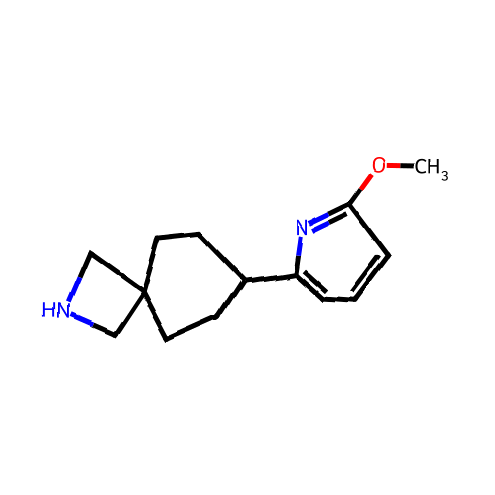 COc1cccc(C2CCC3(CC2)CNC3)n1